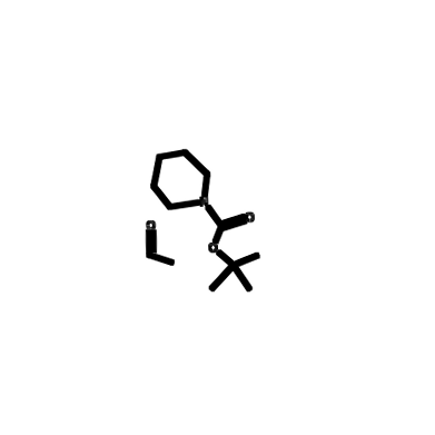 CC(C)(C)OC(=O)N1CCCCC1.CC=O